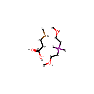 COCC[P+](C)(C)CCOC.CSCCC(=O)[O-]